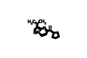 CN(C)c1cnn2ccc(NC3CCCC3)nc12